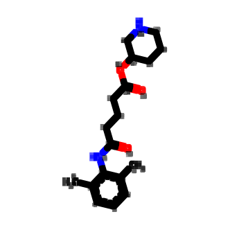 Cc1cccc(C)c1NC(=O)CCCC(=O)OC1CCCNC1